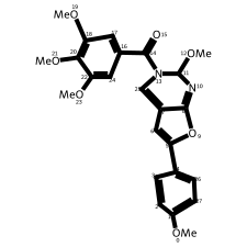 COc1ccc(-c2cc3c(o2)=NC(OC)N(C(=O)c2cc(OC)c(OC)c(OC)c2)C=3)cc1